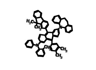 Cc1ccc(-c2c3ccc(N4c5ccccc5CCc5ccccc54)cc3c(-c3ccc4c(c3)C(C)(C)c3ccccc3-4)c3ccc(N(c4ccccc4)c4ccccc4C)cc23)cc1C